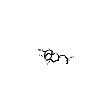 [C-]#[N+][C@H](C)C[C@H]1CC[C@@H]2O[C@@H]3CC2(COC3O)O1